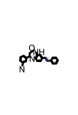 N#Cc1cccc(C2=Nc3ccc(/C=C/c4ccccc4)cc3NC(=O)C2)c1